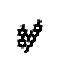 CCCCCCC(Cc1ccc(O)cc1)NC(=O)c1cc(Cl)ccc1N1CCCCC1